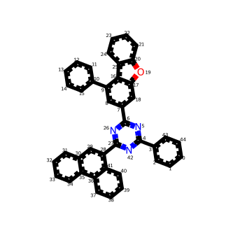 c1ccc(-c2nc(-c3cc(-c4ccccc4)c4c(c3)oc3ccccc34)nc(-c3cc4ccccc4c4ccccc34)n2)cc1